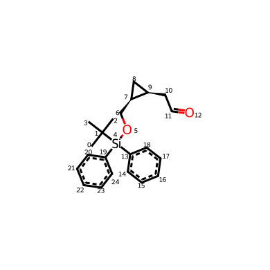 CC(C)(C)[Si](OC[C@H]1C[C@H]1CC=O)(c1ccccc1)c1ccccc1